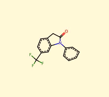 O=C1Cc2ccc(C(F)(F)F)cc2N1c1ccccc1